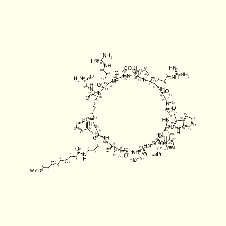 COCCOCCOCCC(=O)NCCCC[C@@H]1NC(=O)[C@H](Cc2ccccc2)NC(=O)CSC[C@@H](C(=O)NCC(N)=O)NC(=O)[C@H](CCCNC(=N)N)NC(=O)[C@H](CC(=O)O)NC(=O)[C@@H]2CCCN2C(=O)[C@H](CCCNC(=N)N)NC(=O)[C@H](C)N(C)C(=O)[C@H](Cc2c[nH]c3ccccc23)NC(=O)[C@H](Cc2cnc[nH]2)NC(=O)[C@H](CC(C)C)NC(=O)[C@H](CO)NC(=O)[C@H](C)N(C)C1=O